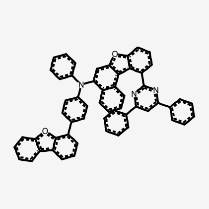 c1ccc(-c2cc(-c3ccccc3)nc(-c3cccc4oc5cc(N(c6ccccc6)c6ccc(-c7cccc8c7oc7ccccc78)cc6)c6ccccc6c5c34)n2)cc1